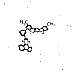 Cc1ccc2oc3cc4oc5c(-c6cccc(-c7cnc8c9ccccc9c9ccccc9c8n7)c6)cc(C)cc5c4cc3c2c1